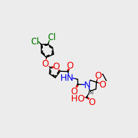 O=C(NCC(=O)N1CC2(C[C@H]1C(=O)O)OCCO2)c1ccc(Oc2ccc(Cl)c(Cl)c2)o1